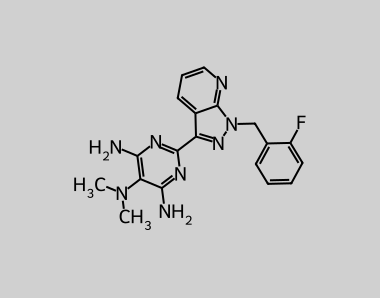 CN(C)c1c(N)nc(-c2nn(Cc3ccccc3F)c3ncccc23)nc1N